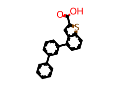 O=C(O)c1cc2c(-c3cccc(-c4ccccc4)c3)cccc2s1